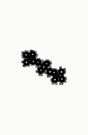 c1ccc([Si](c2ccccc2)(c2ccccc2)c2ccc3cc(-c4c5ccccc5c(-c5ccc6cc([Si](c7ccccc7)(c7ccccc7)c7ccccc7)ccc6c5)c5ccccc45)ccc3c2)cc1